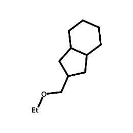 CCOCC1CC2CCCCC2C1